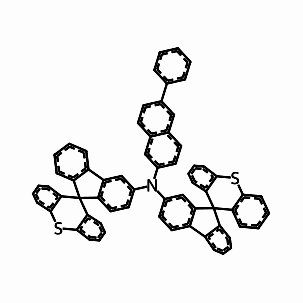 c1ccc(-c2ccc3cc(N(c4ccc5c(c4)-c4ccccc4C54c5ccccc5Sc5ccccc54)c4ccc5c(c4)C4(c6ccccc6Sc6ccccc64)c4ccccc4-5)ccc3c2)cc1